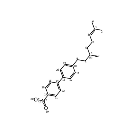 CC(C)=CCC[C@@H](C)CCc1ccc(-c2ccc([N+](=O)[O-])cc2)cc1